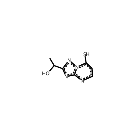 CC(O)c1nc2nccc(S)n2n1